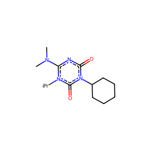 CC(C)n1c(N(C)C)nc(=O)n(C2CCCCC2)c1=O